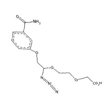 [N-]=[N+]=NC(COc1cccc(C(N)=O)c1)OCCOCC(=O)O